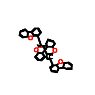 C1=CC2Oc3c(C4=CC5OC6C=CC=CC6C6(C7=C(CC(C8=CC=CC9C8OC8C=CC=CC89)C=C7)OC7CC=CCC76)C5C=C4)cccc3C2C=C1